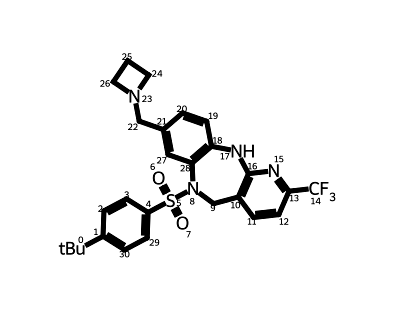 CC(C)(C)c1ccc(S(=O)(=O)N2Cc3ccc(C(F)(F)F)nc3Nc3ccc(CN4CCC4)cc32)cc1